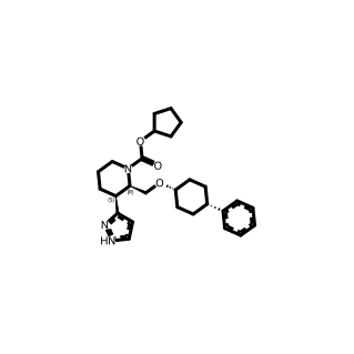 O=C(OC1CCCC1)N1CCC[C@H](c2cc[nH]n2)[C@@H]1CO[C@H]1CC[C@@H](c2ccccc2)CC1